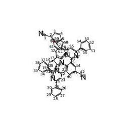 N#Cc1cccc(-c2ccc3c(c2)c2ccccc2n3-c2c(-c3cc(-c4ccccc4)nc(-c4ccccc4)n3)cc(C#N)cc2-c2nc(-c3ccccc3)cc(-c3ccccc3)n2)c1